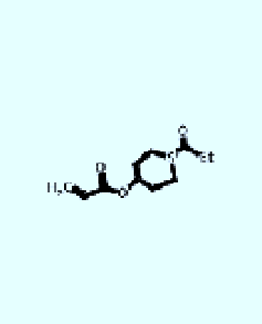 C=CC(=O)OC1CC[S+](C(=O)CC)CC1